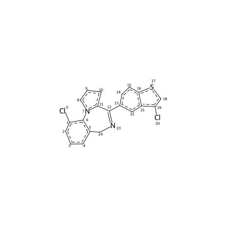 Clc1cccc2c1-n1cccc1C(c1ccc3scc(Cl)c3c1)=NC2